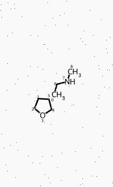 C1CCOC1.CCNC